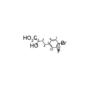 O=C(O)[C@@H](O)CCc1ccc(Br)c(F)c1